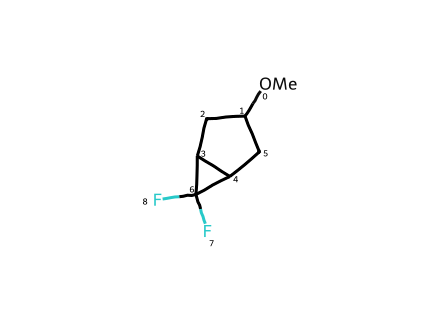 COC1CC2C(C1)C2(F)F